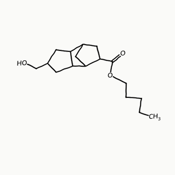 CCCCCOC(=O)C1CC2CC1C1CC(CO)CC21